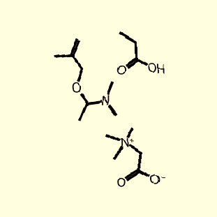 C=C(C)COC(C)N(C)C.CCC(=O)O.C[N+](C)(C)CC(=O)[O-]